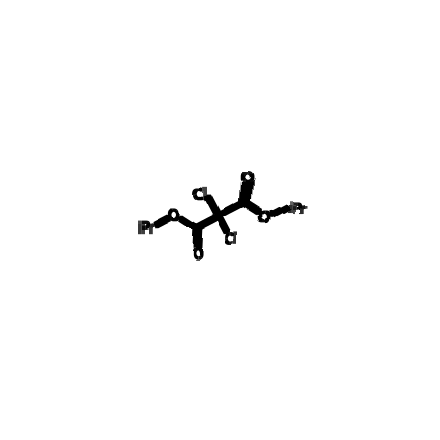 CC(C)OC(=O)C(Cl)(Cl)C(=O)OC(C)C